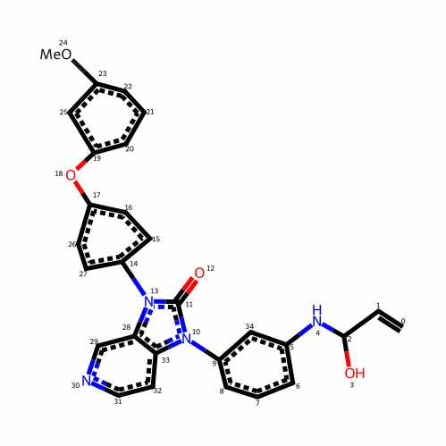 C=CC(O)Nc1cccc(-n2c(=O)n(-c3ccc(Oc4cccc(OC)c4)cc3)c3cnccc32)c1